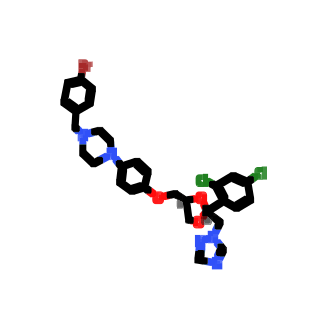 Clc1ccc([C@]2(Cn3cncn3)OC[C@@H](COc3ccc(N4CCN(Cc5ccc(Br)cc5)CC4)cc3)O2)c(Cl)c1